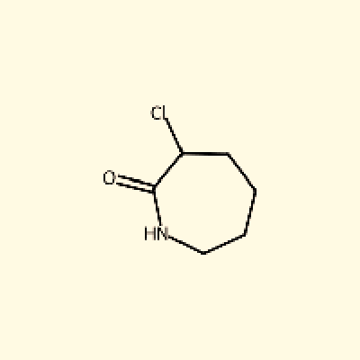 O=C1NCCCCC1Cl